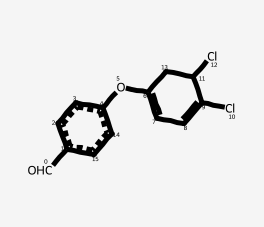 O=Cc1ccc(OC2=CC=C(Cl)C(Cl)C2)cc1